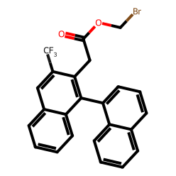 O=C(Cc1c(C(F)(F)F)cc2ccccc2c1-c1cccc2ccccc12)OCBr